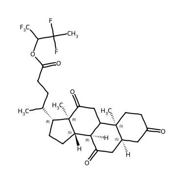 CC(CCC(=O)OC(C(C)(F)F)C(F)(F)F)[C@H]1CC[C@H]2[C@@H]3C(=O)C[C@@H]4CC(=O)CC[C@]4(C)C3CC(=O)[C@]12C